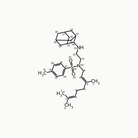 CC(C)=CCC/C(C)=C/CN(CCNC1C2CC3CC(C2)CC1C3)S(=O)(=O)c1ccc(C)cc1